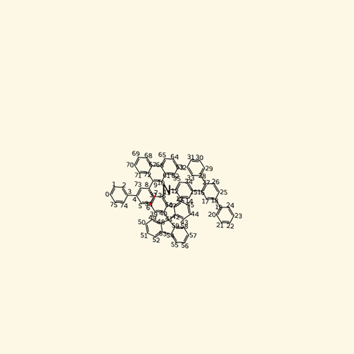 c1ccc(-c2cccc(-c3c(N(c4ccc(-c5cc(-c6ccccc6)ccc5-c5ccccc5)cc4)c4cccc(C5(c6ccccc6)c6ccccc6-c6ccccc65)c4)c4ccccc4c4ccccc34)c2)cc1